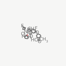 COc1cc(F)c(O[C@H]2CC[C@@](C)(C(=O)O)CC2)cc1C(=O)N[C@@H]1[C@@H]2CC[C@@H](C2)[C@@H]1C(=O)NC12CC(F)(C1)C2